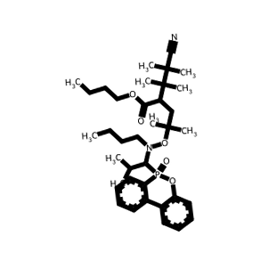 CCCCOC(=O)C(CC(C)(C)ON(CCCC)C(C(C)C)P1(=O)Oc2ccccc2-c2ccccc21)C(C)(C)C(C)(C)C#N